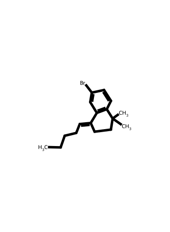 CCCCC=C1CCC(C)(C)c2ccc(Br)cc21